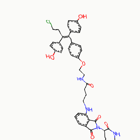 O=C(CCCNc1cccc2c1C(=O)N(C1CCC(=O)NC1=O)C2=O)NCCOc1ccc(C(=C(CCCl)c2ccc(O)cc2)c2ccc(O)cc2)cc1